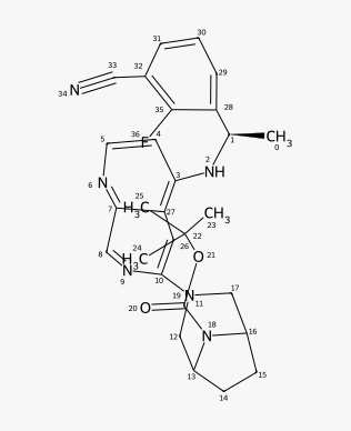 C[C@@H](Nc1ccnc2cnc(N3CC4CCC(C3)N4C(=O)OC(C)(C)C)cc12)c1cccc(C#N)c1F